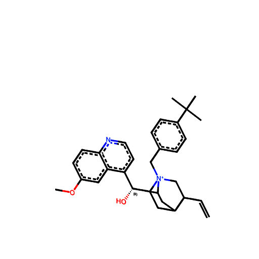 C=CC1C[N+]2(Cc3ccc(C(C)(C)C)cc3)CCC1CC2[C@H](O)c1ccnc2ccc(OC)cc12